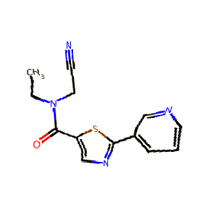 CCN(CC#N)C(=O)c1cnc(-c2cccnc2)s1